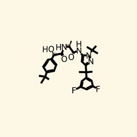 C[C@H](NC(=O)[C@@H](O)c1ccc(C(C)(C)C)cc1)C(=O)Nc1cc(C(C)(C)c2cc(F)cc(F)c2)nn1C(C)(C)C